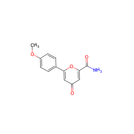 COc1ccc(-c2cc(=O)cc(C(N)=O)o2)cc1